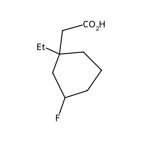 CCC1(CC(=O)O)CCCC(F)C1